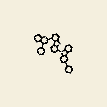 c1ccc(-c2ccc3c(c2)c2ccccc2n3-c2cccc3c2oc2cccc(-c4cc(-c5ccccc5)c5ccccc5n4)c23)cc1